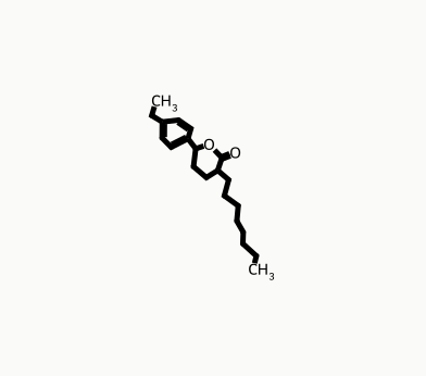 CCCCCCCCC1CCC(c2ccc(CC)cc2)OC1=O